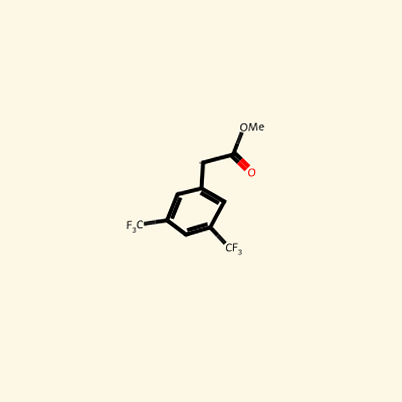 COC(=O)[CH]c1cc(C(F)(F)F)cc(C(F)(F)F)c1